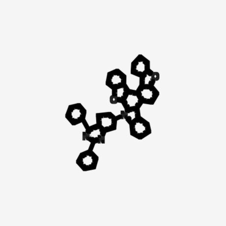 c1ccc(-c2nc(-c3ccccc3)c3ccc(-n4c5ccccc5c5c6ccc7oc8ccccc8c7c6c6c7ccccc7oc6c54)cc3n2)cc1